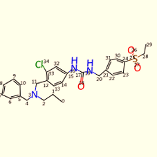 CCCN(Cc1ccccc1)Cc1ccc(NC(=O)NCc2ccc(S(=O)(=O)CC)cc2)cc1Cl